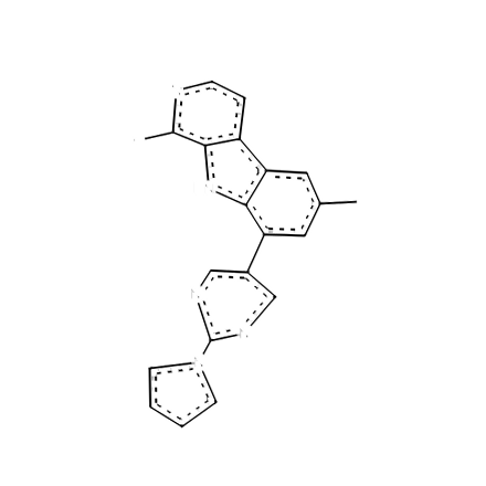 Cc1nccc2c1[nH]c1c(-c3cnc(-n4cccc4)nc3)cc(Cl)cc12